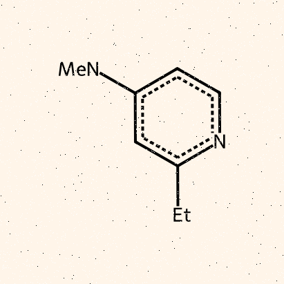 CCc1cc(NC)ccn1